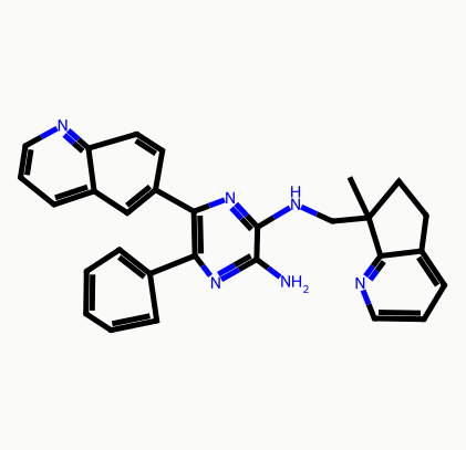 CC1(CNc2nc(-c3ccc4ncccc4c3)c(-c3ccccc3)nc2N)CCc2cccnc21